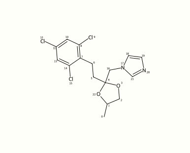 CC1COC(CCc2c(Cl)cc(Cl)cc2Cl)(Cn2ccnc2)O1